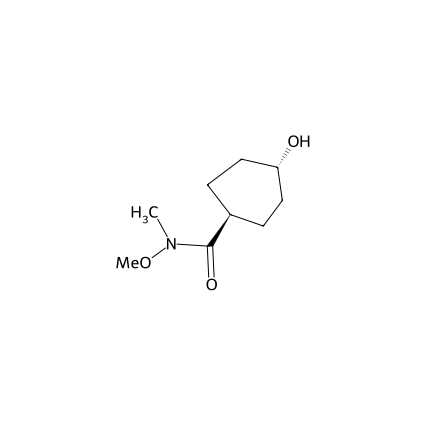 CON(C)C(=O)[C@H]1CC[C@H](O)CC1